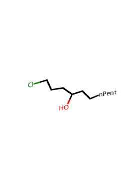 CCCCCCCC(O)CCCCl